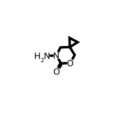 NN1CC2(CC2)COC1=O